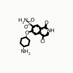 NS(=O)(=O)c1cc2c(=O)[nH]cc(Cl)c2cc1O[C@H]1CC[C@@H](N)CC1